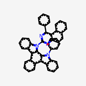 c1ccc(-c2nc(-n3c4ccccc4c4c5ccccc5c5c6ccccc6n(-c6ccccc6)c5c43)nc3ccc4ccccc4c23)cc1